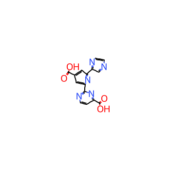 O=C(O)c1cc(-c2cnccn2)nc(-c2nccc(C(=O)O)n2)c1